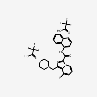 O=C(Nc1cccc2ccccc12)c1nc(CN2CCOCC2)c2c(F)cccn12.O=C(O)C(F)(F)F.O=C(O)C(F)(F)F